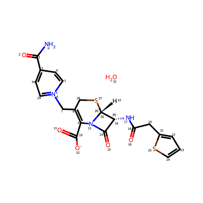 NC(=O)c1cc[n+](CC2=C(C(=O)[O-])N3C(=O)[C@@H](NC(=O)Cc4cccs4)[C@H]3SC2)cc1.O